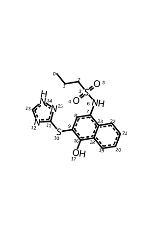 CCCS(=O)(=O)Nc1cc(Sc2nc[nH]n2)c(O)c2ccccc12